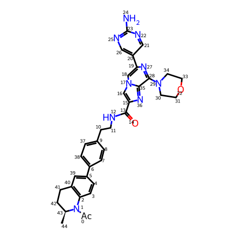 CC(=O)N1c2ccc(-c3ccc(CCNC(=O)c4cn5cc(-c6cnc(N)nc6)nc(N6CCOCC6)c5n4)cc3)cc2CC[C@@H]1C